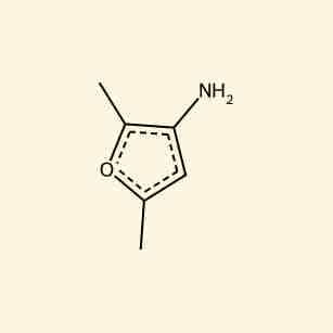 Cc1cc(N)c(C)o1